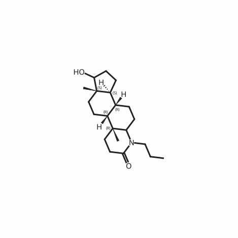 CCCN1C(=O)CC[C@@]2(C)C1CC[C@@H]1[C@H]2CC[C@]2(C)C(O)CC[C@@H]12